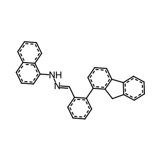 C(=NNc1cccc2ccccc12)c1ccccc1-c1cccc2c1Cc1ccccc1-2